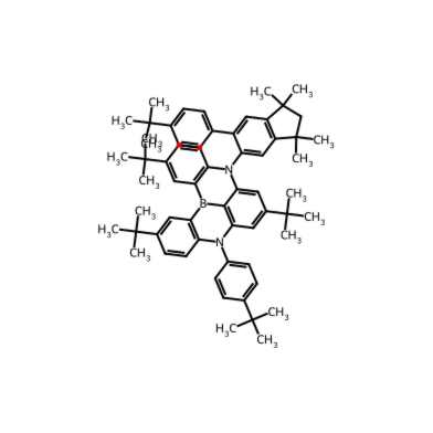 CC(C)(C)c1ccc(-c2cc3c(cc2N2c4ccc(C(C)(C)C)cc4B4c5cc(C(C)(C)C)ccc5N(c5ccc(C(C)(C)C)cc5)c5cc(C(C)(C)C)cc2c54)C(C)(C)CC3(C)C)cc1